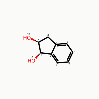 O[C@@H]1c2ccccc2C[C@@H]1O